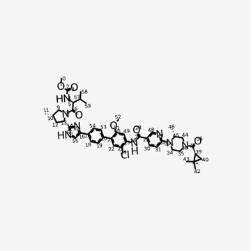 COC(=O)N[C@H](C(=O)N1C[C@@H](C)C[C@H]1c1nc(-c2ccc(-c3cc(Cl)c(NC(=O)c4ccc(N5CCN(C(=O)[C@H]6CC6(C)C)C[C@H]5C)nc4)cc3OC)cc2)c[nH]1)C(C)C